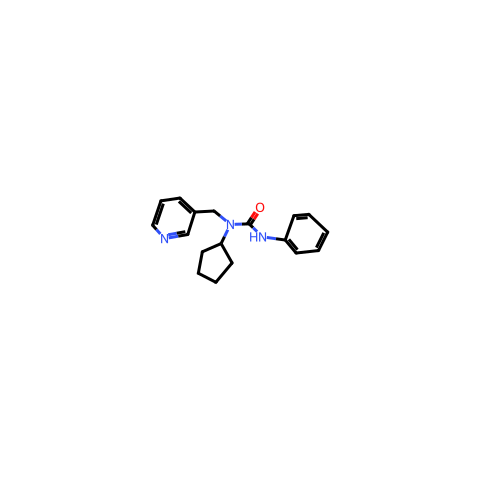 O=C(Nc1ccccc1)N(Cc1cccnc1)C1CCCC1